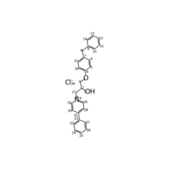 OC(COc1ccc(Cc2ccccc2)cc1)C[n+]1ccc(-c2ccccc2)cc1.[Cl-]